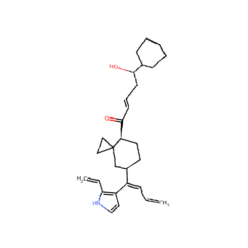 C=C/C=C(\c1cc[nH]c1C=C)C1CC[C@H](C(=O)/C=C/CC(O)C2CCCCC2)C2(CC2)C1